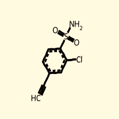 C#Cc1ccc(S(N)(=O)=O)c(Cl)c1